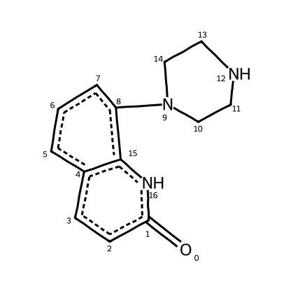 O=c1ccc2cccc(N3CCNCC3)c2[nH]1